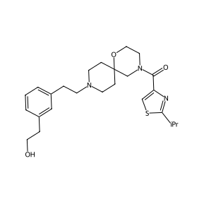 CC(C)c1nc(C(=O)N2CCOC3(CCN(CCc4cccc(CCO)c4)CC3)C2)cs1